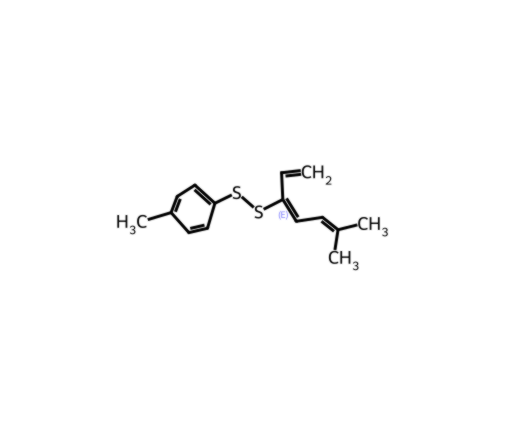 C=C/C(=C\C=C(C)C)SSc1ccc(C)cc1